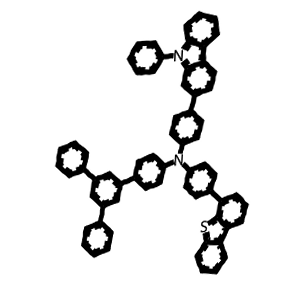 c1ccc(-c2cc(-c3ccccc3)cc(-c3ccc(N(c4ccc(-c5ccc6c7ccccc7n(-c7ccccc7)c6c5)cc4)c4ccc(-c5cccc6c5sc5ccccc56)cc4)cc3)c2)cc1